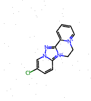 Clc1ccc2n(c1)nc1[n+]2CC[n+]2ccccc2-1